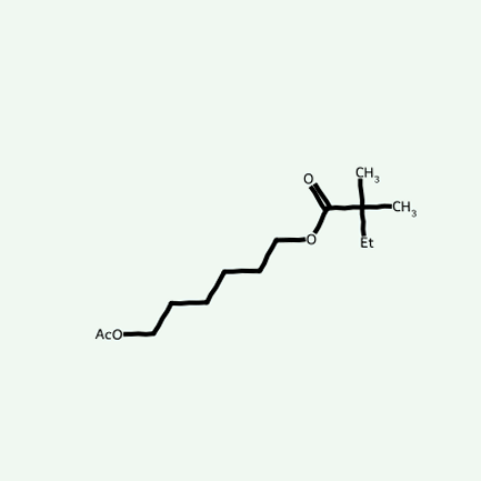 CCC(C)(C)C(=O)OCCCCCCOC(C)=O